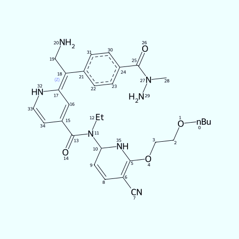 CCCCOCCOC1=C(C#N)C=CC(N(CC)C(=O)C2=C/C(=C(/CN)c3ccc(C(=O)N(C)N)cc3)NC=C2)N1